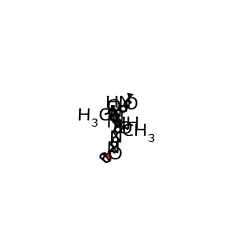 COc1cc(N2CC3CN(C(=O)CC45CC6CC(CC(C6)C4)C5)CC3C2)ccc1Nc1ncc2c(C)cc(=O)n(-c3cccc(NC(=O)C4CC4)c3)c2n1